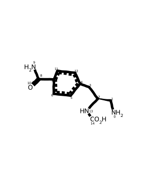 NC[C@H](Cc1ccc(C(N)=O)cc1)NC(=O)O